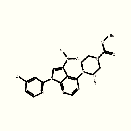 CCCN(C(C)=O)c1cn(-c2cc(Cl)ccn2)c2ncnc(N3CCN(C(=O)OC(C)(C)C)C[C@@H]3C)c12